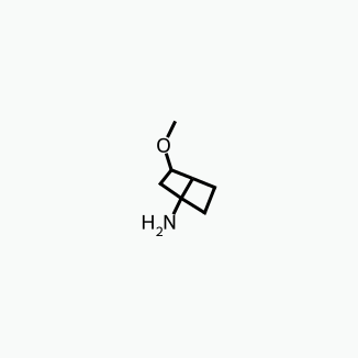 COC1CC2(N)CCC12